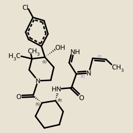 C/C=C\N=C(/C=N)C(=O)N[C@@H]1CCCC[C@@H]1C(=O)N1CC[C@](O)(c2ccc(Cl)cc2)C(C)(C)C1